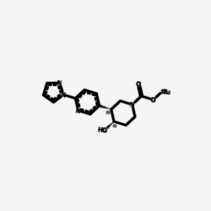 CC(C)(C)OC(=O)N1CC[C@H](O)[C@H](c2ccc(-n3cccn3)nc2)C1